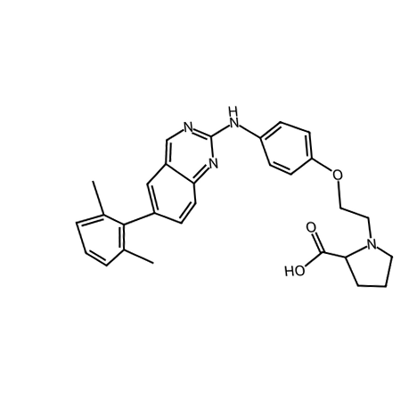 Cc1cccc(C)c1-c1ccc2nc(Nc3ccc(OCCN4CCCC4C(=O)O)cc3)ncc2c1